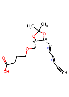 C#C/C=C/C=C/[C@H]1OC(C)(C)O[C@H]1COCCCC(=O)O